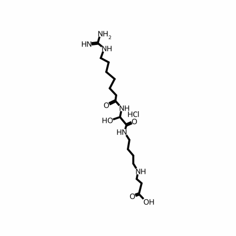 Cl.N=C(N)NCCCCCCC(=O)NC(O)C(=O)NCCCCNCCC(=O)O